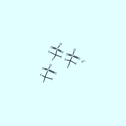 O=S(=O)([O-])C(F)(F)F.O=S(=O)([O-])C(F)(F)F.O=S(=O)([O-])C(F)(F)F.[V+3]